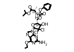 CCOc1nc(N)nc2c1ncn2[C@@H]1O[C@H](CO[P@@](=O)(N[C@@H](C)C(=O)OC(C)C)Oc2ccccc2)[C@@H](O)C1(Cl)Cl